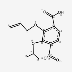 C=CCOc1c(C(=O)O)ccc([N+](=O)[O-])c1OC(C)C